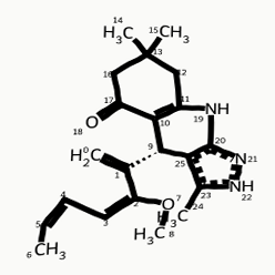 C=C(/C(=C\C=C/C)OC)[C@@H]1C2=C(CC(C)(C)CC2=O)Nc2n[nH]c(C)c21